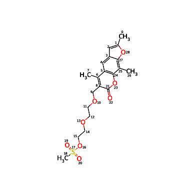 Cc1cc2cc3c(C)c(COCCOCCOS(C)(=O)=O)c(=O)oc3c(C)c2o1